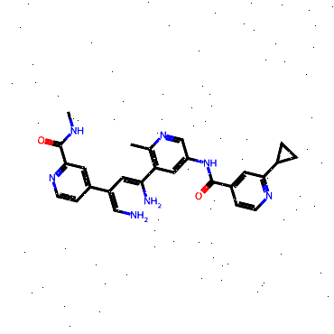 CNC(=O)c1cc(C(/C=C(\N)c2cc(NC(=O)c3ccnc(C4CC4)c3)cnc2C)=C/N)ccn1